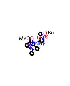 COC(=O)c1cnn2c(N(Cc3ccccc3)Cc3ccccc3)c(-c3ccccc3)c(NCc3cc(F)cnc3OC3CCCC3NC(=O)OC(C)(C)C)nc12